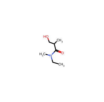 CCN(C)C(=O)C(C)CO